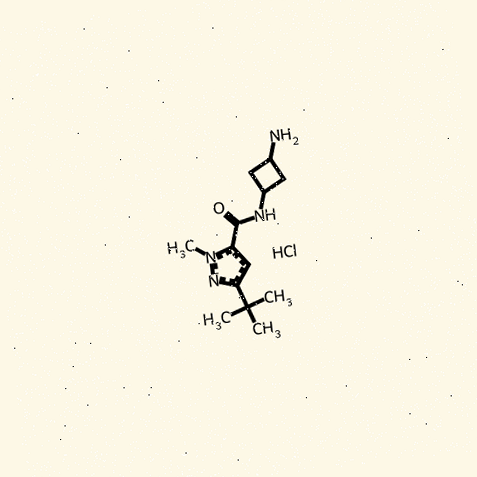 Cl.Cn1nc(C(C)(C)C)cc1C(=O)NC1CC(N)C1